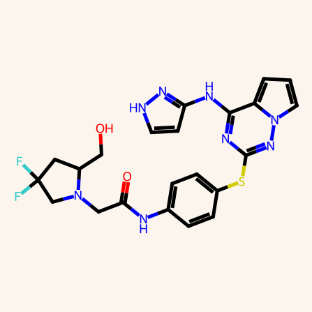 O=C(CN1CC(F)(F)CC1CO)Nc1ccc(Sc2nc(Nc3cc[nH]n3)c3cccn3n2)cc1